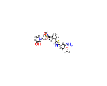 CC(C)Oc1ccc(-c2ncc(-c3cccc4c3CC[C@@H]4NS(=O)(=O)CCN3CCC[C@@H](O)C3)s2)cc1N